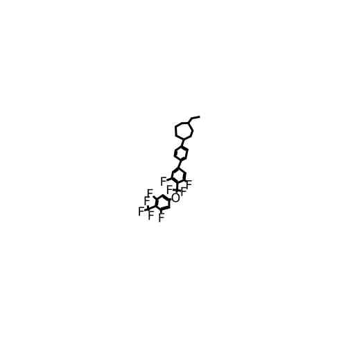 CCC1CCCC(c2ccc(-c3cc(F)c(C(F)(F)Oc4cc(F)c(C(F)(F)F)c(F)c4)c(F)c3)cc2)CC1